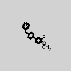 COc1ccc(-c2ccc(Cc3ccncc3)cc2)cc1F